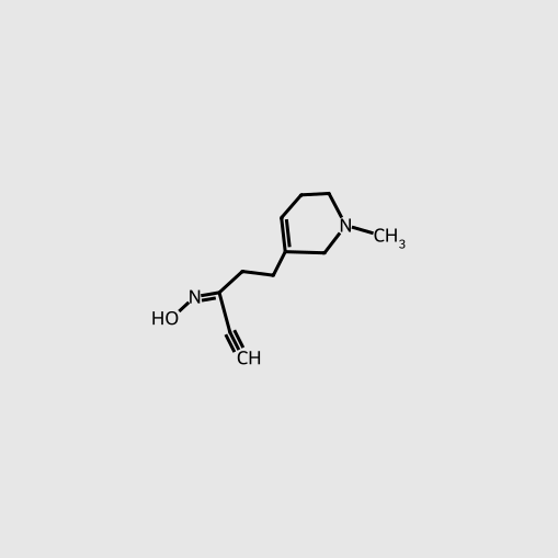 C#C/C(CCC1=CCCN(C)C1)=N\O